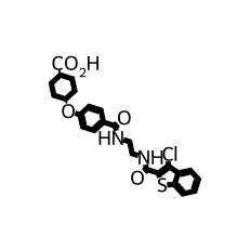 O=C(NCCNC(=O)c1sc2ccccc2c1Cl)c1ccc(O[C@H]2CC[C@@H](C(=O)O)CC2)cc1